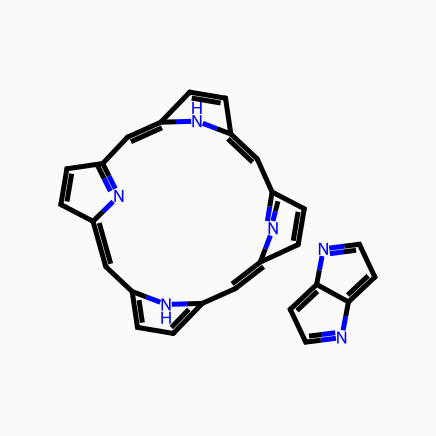 C1=Cc2cc3ccc(cc4nc(cc5ccc(cc1n2)[nH]5)C=C4)[nH]3.C1=NC2=CC=NC2=C1